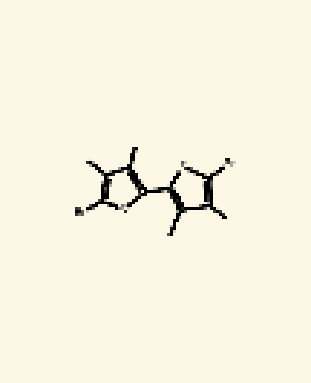 Cc1c(Br)sc(-c2sc(Br)c(C)c2C)c1C